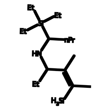 CCCC(NC(CC)C(C)=C(C)[SiH3])[Si](CC)(CC)CC